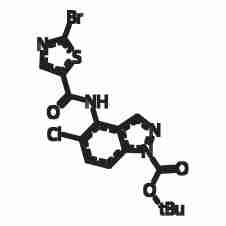 CC(C)(C)OC(=O)n1ncc2c(NC(=O)c3cnc(Br)s3)c(Cl)ccc21